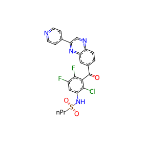 CCCS(=O)(=O)Nc1cc(F)c(F)c(C(=O)c2ccc3ncc(-c4ccncc4)nc3c2)c1Cl